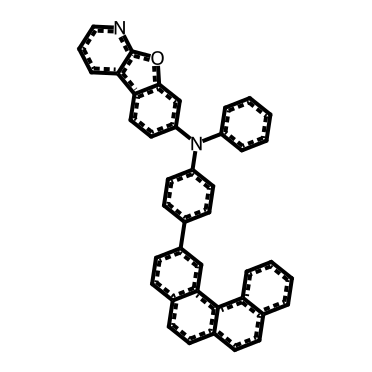 c1ccc(N(c2ccc(-c3ccc4ccc5ccc6ccccc6c5c4c3)cc2)c2ccc3c(c2)oc2ncccc23)cc1